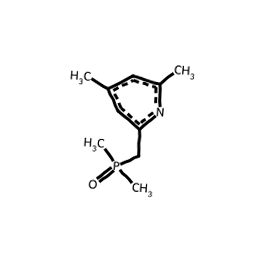 Cc1cc(C)nc(CP(C)(C)=O)c1